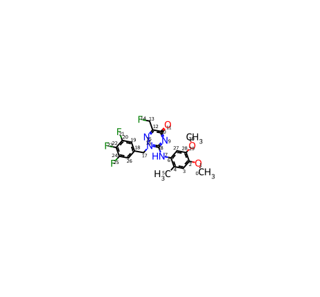 COc1cc(C)c(Nc2nc(=O)c(CF)nn2Cc2cc(F)c(F)c(F)c2)cc1OC